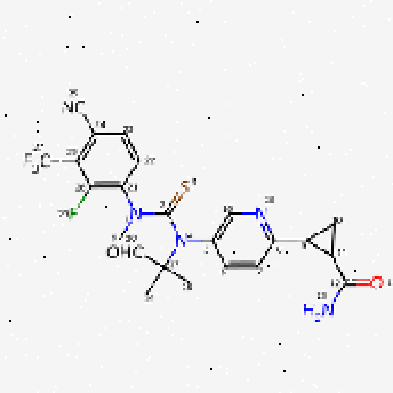 CN(C(=S)N(c1ccc(C2CC2C(N)=O)nc1)C(C)(C)C=O)c1ccc(C#N)c(C(F)(F)F)c1F